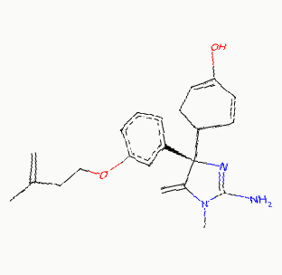 C=C(C)CCOc1cccc([C@@]2(C3C=CC(O)=CC3)N=C(N)N(C)C2=C)c1